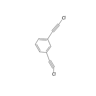 ClC#Cc1cccc(C#CCl)c1